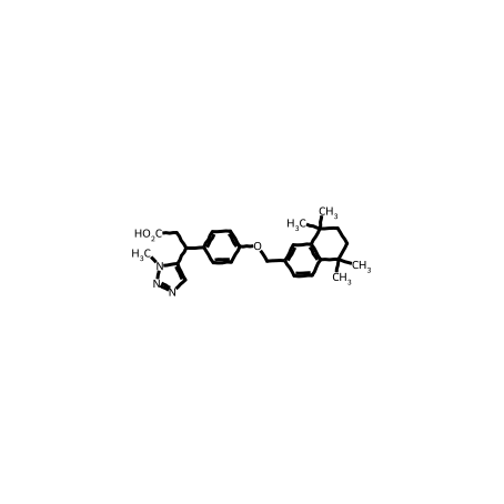 Cn1nncc1C(CC(=O)O)c1ccc(OCc2ccc3c(c2)C(C)(C)CCC3(C)C)cc1